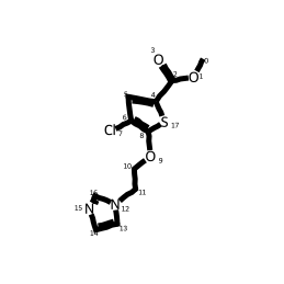 COC(=O)c1cc(Cl)c(OCCn2ccnc2)s1